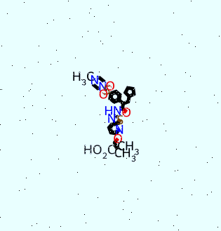 CN1CCN(S(=O)(=O)c2ccc(C(CC3CCCC3)C(=O)Nc3nc4ccc(OCC(C)(C)C(=O)O)nc4s3)cc2)CC1